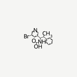 C[C@@H](c1ccccc1)[C@@H](NC(=O)O)c1cncc(Br)c1